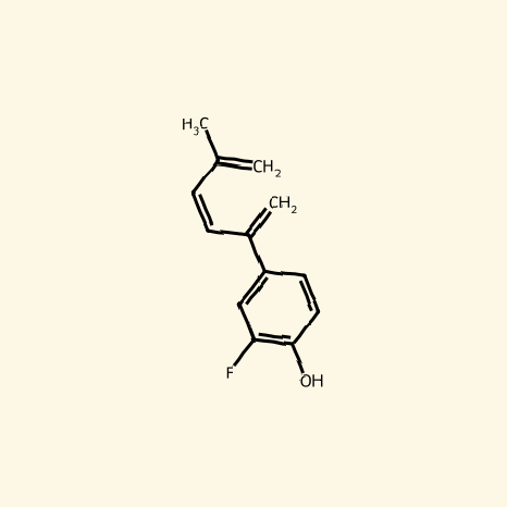 C=C(C)/C=C\C(=C)c1ccc(O)c(F)c1